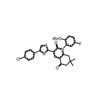 COc1ccc(F)cc1-n1c2c(cc(-c3nc(-c4ccc(Cl)cc4)cs3)c1=O)C(=O)CC(C)(C)C2